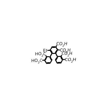 CCc1cc(C(=O)O)c(C(=O)O)c(-c2cccc(C(=O)O)c2C(=O)O)c1-c1cccc(C(=O)O)c1C(=O)O